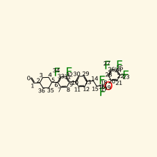 C=CC1CCC(c2ccc(-c3ccc(CCC(F)(F)Oc4cc(F)c(F)c(F)c4)cc3)c(F)c2F)CC1